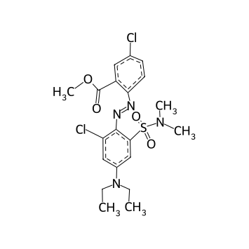 CCN(CC)c1cc(Cl)c(N=Nc2ccc(Cl)cc2C(=O)OC)c(S(=O)(=O)N(C)C)c1